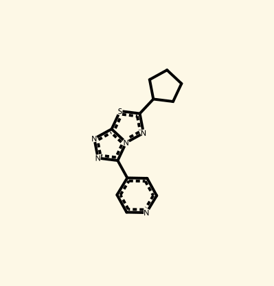 c1cc(-c2nnc3sc(C4CCCC4)nn23)ccn1